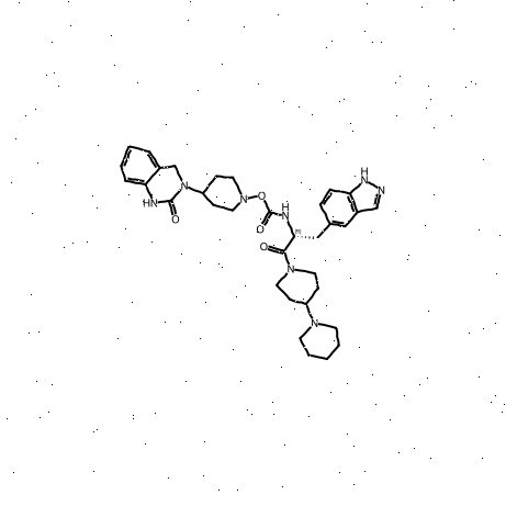 O=C(N[C@H](Cc1ccc2[nH]ncc2c1)C(=O)N1CCC(N2CCCCC2)CC1)ON1CCC(N2Cc3ccccc3NC2=O)CC1